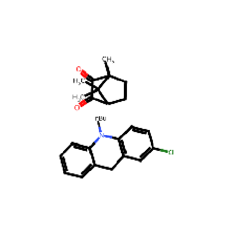 CC12CCC(C(=O)C1=O)C2(C)C.CCCCN1c2ccccc2Cc2cc(Cl)ccc21